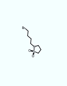 O=S1(=O)CCCN1CCCCBr